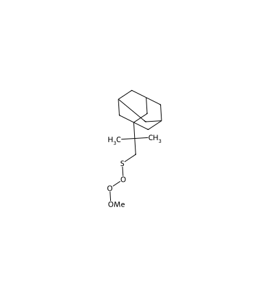 COOOSCC(C)(C)C12CC3CC(CC(C3)C1)C2